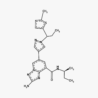 CCC(c1ccc(C)s1)n1cc(-c2cc(C(=O)N[C@@H](C)CC)c3nc(N)nn3c2)cn1